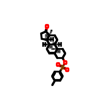 Cc1ccc(S(=O)(=O)OC2CC[C@@]3(C)C(=CC[C@@H]4[C@H]3CC[C@]3(C)C(=O)CC[C@@H]43)C2)cc1